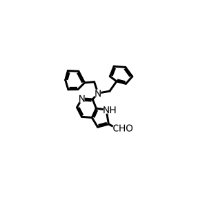 O=Cc1cc2ccnc(N(Cc3ccccc3)Cc3ccccc3)c2[nH]1